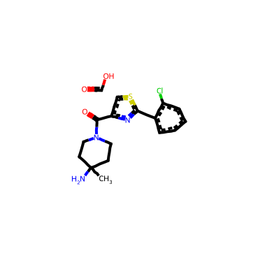 CC1(N)CCN(C(=O)c2csc(-c3ccccc3Cl)n2)CC1.O=CO